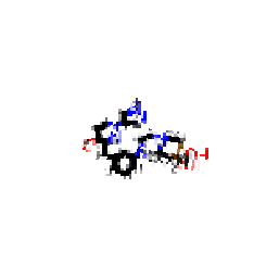 Cn1cc(-n2ccc(=O)c(Cc3cccc(N(CCN4CCS(O)(O)CC4)C(=O)O)c3)n2)cn1